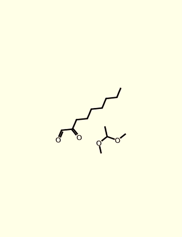 CCCCCCCC(=O)C=O.COC(C)OC